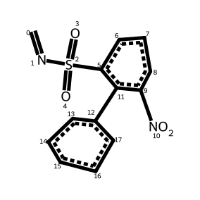 C=NS(=O)(=O)c1cccc([N+](=O)[O-])c1-c1ccccc1